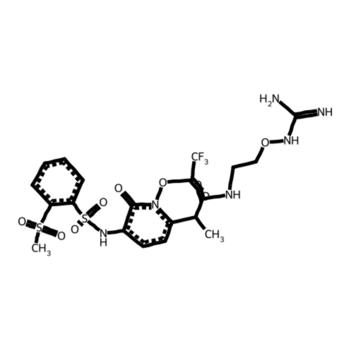 CC(C(=O)NCCONC(=N)N)c1ccc(NS(=O)(=O)c2ccccc2S(C)(=O)=O)c(=O)n1OC(=O)C(F)(F)F